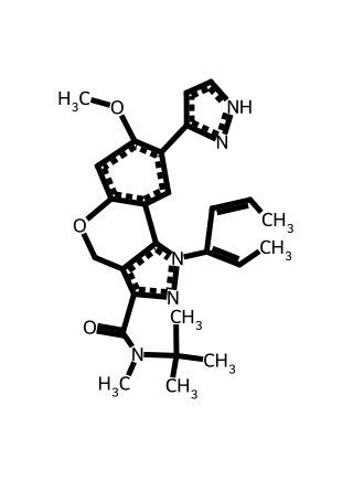 C/C=C\C(=C/C)n1nc(C(=O)N(C)C(C)(C)C)c2c1-c1cc(-c3cc[nH]n3)c(OC)cc1OC2